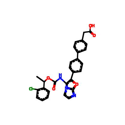 CC(OC(=O)Nc1c(-c2ccc(-c3ccc(CC(=O)O)cc3)cc2)oc2nccn12)c1ccccc1Cl